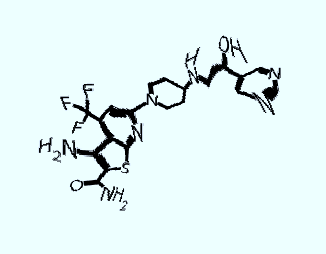 NC(=O)c1sc2nc(N3CCC(NCC(O)c4cncnc4)CC3)cc(C(F)(F)F)c2c1N